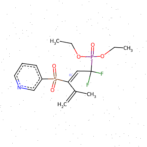 C=C(C)/C(=C\C(F)(F)P(=O)(OCC)OCC)S(=O)(=O)c1cccnc1